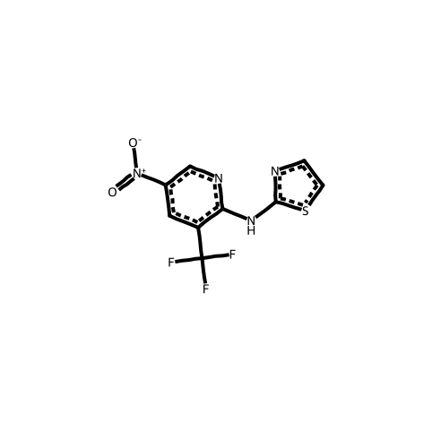 O=[N+]([O-])c1cnc(Nc2nccs2)c(C(F)(F)F)c1